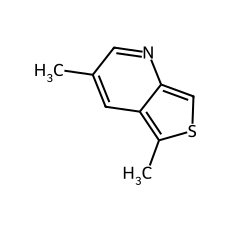 Cc1cnc2csc(C)c2c1